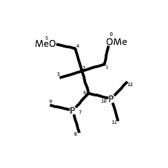 COCC(C)(COC)C(P(C)C)P(C)C